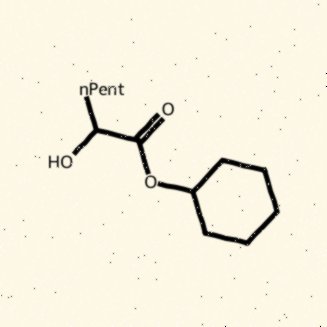 CCCCCC(O)C(=O)OC1CCCCC1